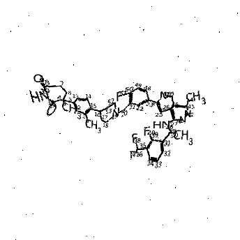 Cc1cc([C@@]2(C)CCC(=O)NC2=O)ccc1C1CCN(Cc2cc(-c3cc4c(N[C@H](C)c5cccc(C(F)F)c5F)nnc(C)c4cn3)ccc2F)CC1